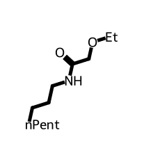 CCCCCCCCNC(=O)COCC